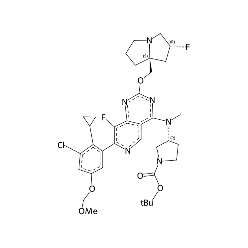 COCOc1cc(Cl)c(C2CC2)c(-c2ncc3c(N(C)[C@@H]4CCN(C(=O)OC(C)(C)C)C4)nc(OC[C@@]45CCCN4C[C@H](F)C5)nc3c2F)c1